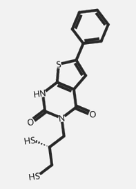 O=c1[nH]c2sc(-c3ccccc3)cc2c(=O)n1C[C@@H](S)CS